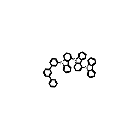 C1=C(n2c3c(c4ccccc42)C(n2c4ccccc4c4ccccc42)=CCC3)c2c(n(-c3cccc(-c4cccc(-c5ccccc5)c4)c3)c3ccccc23)CC1